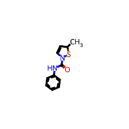 CC1C=CN(C(=O)Nc2ccccc2)S1